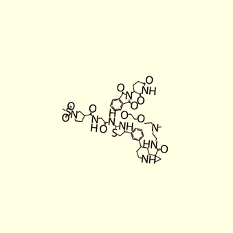 CN(CCNC(=O)C1(C2CC(c3cccc(C4CSC(NC(=O)CNC(=O)C5CCN(S(C)(=O)=O)C5)N4)c3)CCN2)CC1)CCOCCOc1cccc2c1C(=O)N(C1CCC(=O)NC1=O)C2=O